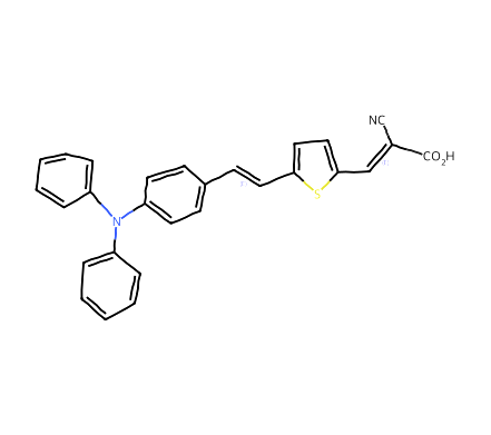 N#C/C(=C\c1ccc(/C=C/c2ccc(N(c3ccccc3)c3ccccc3)cc2)s1)C(=O)O